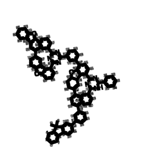 CC1(C)c2ccccc2-c2ccc(-c3cccc(-c4ccc(C5=CC6c7c(C8=NC(c9ccccc9)NC(c9ccccc9)=N8)ccc(-c8cccc(-c9nc(-c%10ccccc%10)nc(-c%10cccc%11oc%12ccc(-c%13ccc%14oc%15ccccc%15c%14c%13)cc%12c%10%11)n9)c8)c7OC6C=C5)cc4)c3)cc21